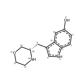 Oc1ccc2[nH]cc(C[C@H]3COCCN3)c2c1